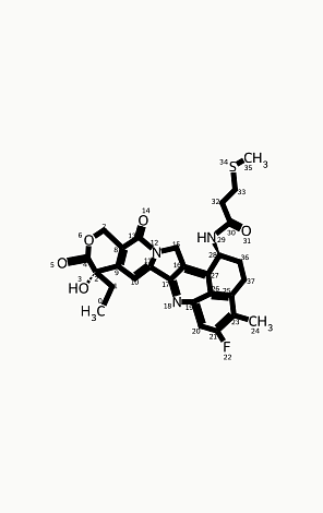 CC[C@@]1(O)C(=O)OCc2c1cc1n(c2=O)Cc2c-1nc1cc(F)c(C)c3c1c2[C@@H](NC(=O)CCSC)CC3